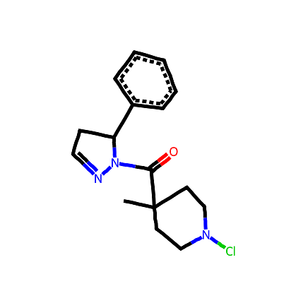 CC1(C(=O)N2N=CCC2c2ccccc2)CCN(Cl)CC1